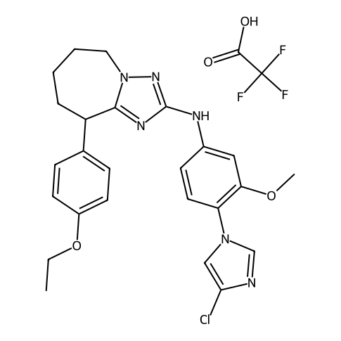 CCOc1ccc(C2CCCCn3nc(Nc4ccc(-n5cnc(Cl)c5)c(OC)c4)nc32)cc1.O=C(O)C(F)(F)F